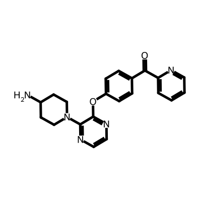 NC1CCN(c2nccnc2Oc2ccc(C(=O)c3ccccn3)cc2)CC1